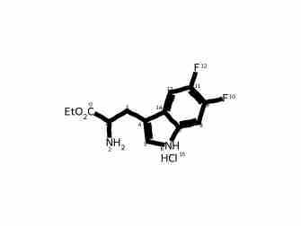 CCOC(=O)C(N)Cc1c[nH]c2cc(F)c(F)cc12.Cl